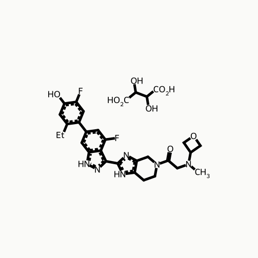 CCc1cc(O)c(F)cc1-c1cc(F)c2c(-c3nc4c([nH]3)CCN(C(=O)CN(C)C3COC3)C4)n[nH]c2c1.O=C(O)C(O)C(O)C(=O)O